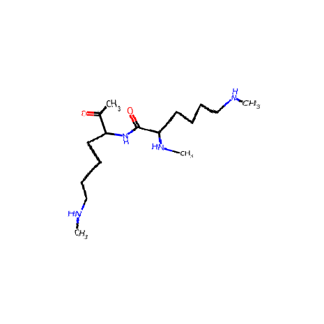 CNCCCCC(NC(=O)C(CCCCNC)NC)C(C)=O